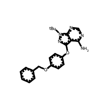 CC(C)(C)n1nc(Oc2ccc(OCc3ccccc3)cc2)c2c(N)ncnc21